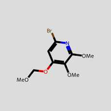 COCOc1cc(Br)nc(OC)c1OC